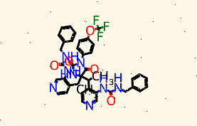 CC(c1ccncc1NC(=O)NCc1ccccc1)C1(C(C)c2ccncc2NC(=O)NCc2ccccc2)NC(=O)N(c2ccc(OC(F)(F)F)cc2)C1=O